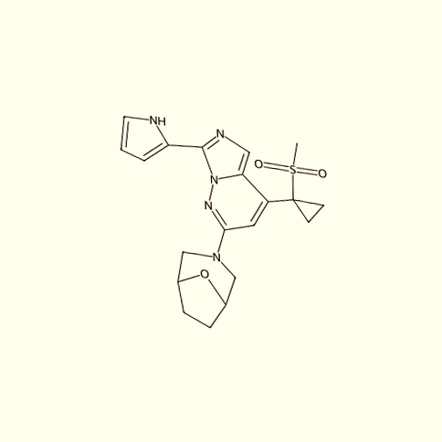 CS(=O)(=O)C1(c2cc(N3CC4CCC(C3)O4)nn3c(-c4ccc[nH]4)ncc23)CC1